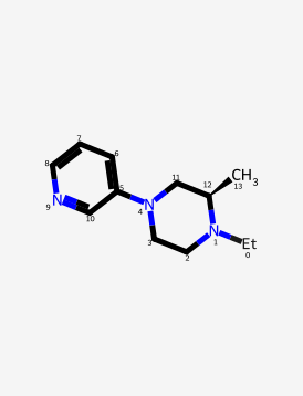 CCN1CCN(c2cccnc2)C[C@H]1C